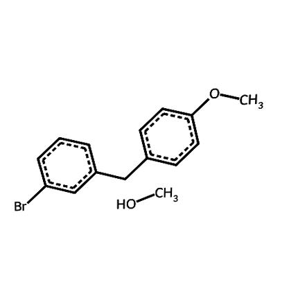 CO.COc1ccc(Cc2cccc(Br)c2)cc1